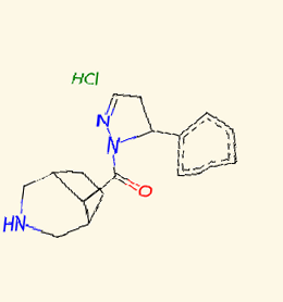 Cl.O=C(C1C2CCC1CNC2)N1N=CCC1c1ccccc1